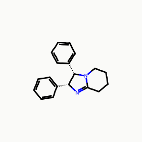 c1ccc([C@H]2N=C3CCCCN3[C@H]2c2ccccc2)cc1